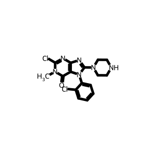 Cn1c(Cl)nc2nc(N3CCNCC3)n(-c3ccccc3Cl)c2c1=O